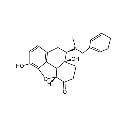 CN(CC1=CCCC=C1)[C@@H]1Cc2ccc(O)c3c2C2[C@@H](O3)C(=O)CC[C@]21O